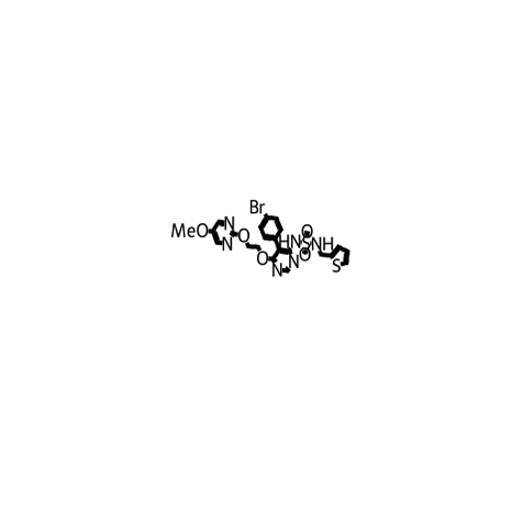 COc1cnc(OCCOc2ncnc(NS(=O)(=O)NCc3cccs3)c2-c2ccc(Br)cc2)nc1